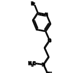 CN(C)CCOc1ccc(Br)nc1